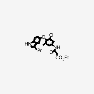 CCOC(=O)CC(=O)Nc1cc(C)c(Oc2ccc3[nH]cc(C(C)C)c3c2)c(Cl)c1